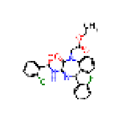 CCOC(=O)CN1C(=O)C(NC(=O)c2ccccc2Cl)=NC(c2ccccc2F)c2ccccc21